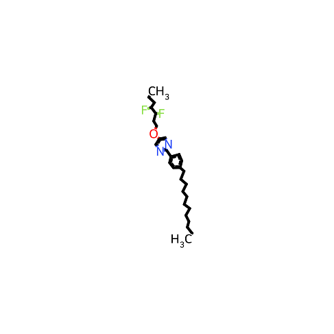 CCCCCCCCCCCCc1ccc(-c2ncc(OCCC(F)C(F)CCC)cn2)cc1